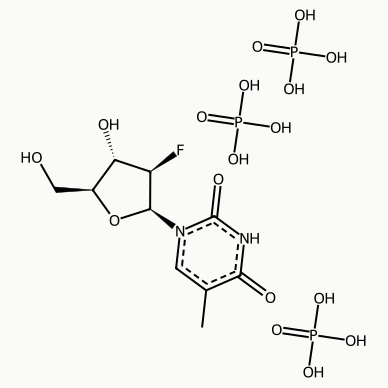 Cc1cn([C@H]2O[C@@H](CO)[C@H](O)[C@H]2F)c(=O)[nH]c1=O.O=P(O)(O)O.O=P(O)(O)O.O=P(O)(O)O